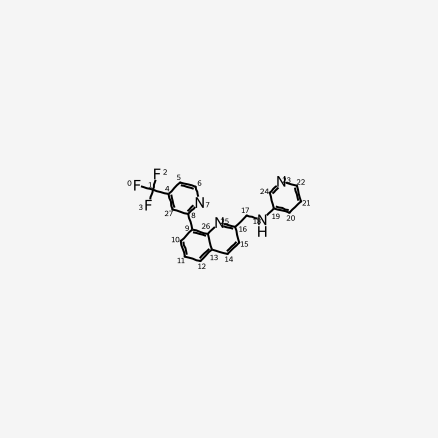 FC(F)(F)c1ccnc(-c2cccc3ccc(CNc4cccnc4)nc23)c1